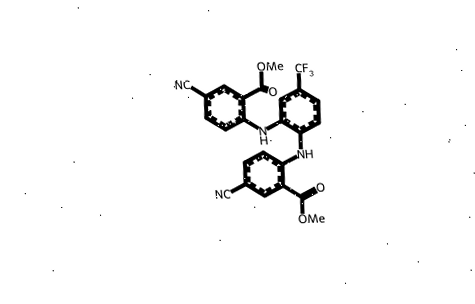 COC(=O)c1cc(C#N)ccc1Nc1ccc(C(F)(F)F)cc1Nc1ccc(C#N)cc1C(=O)OC